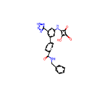 O=C(NCc1ccccc1)c1ccc(-c2cc(Nc3c(O)c(=O)c3=O)cc(-c3nn[nH]n3)c2)cc1